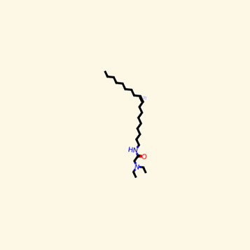 CCCCCCCC/C=C\CCCCCCCCNC(=O)CN(CC)CC